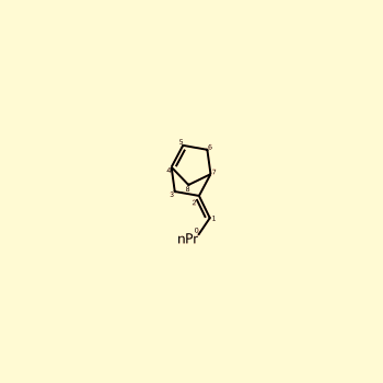 CCC/C=C1\CC2=CCC1C2